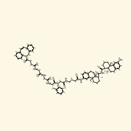 C[C@]1(C(=O)NC(=O)[C@@]2(C)CCC[C@]3(C)c4cc(NC(=O)COCNC(=O)CNC(=O)[C@H](Cc5ccccc5)NC(=O)CNC(=O)CNC(=O)CCC(=O)N5Cc6ccccc6/C=C\c6ccccc65)ccc4CC[C@@H]23)CCC[C@]2(C)c3cc(O)ccc3CC[C@@H]12